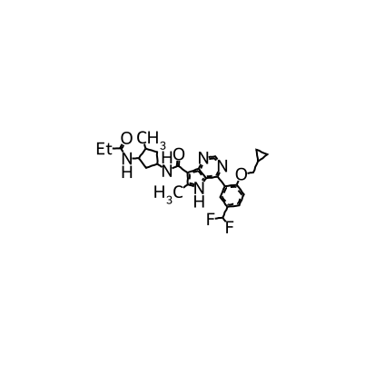 CCC(=O)NC1CC(NC(=O)c2c(C)[nH]c3c(-c4cc(C(F)F)ccc4OCC4CC4)ncnc23)CC1C